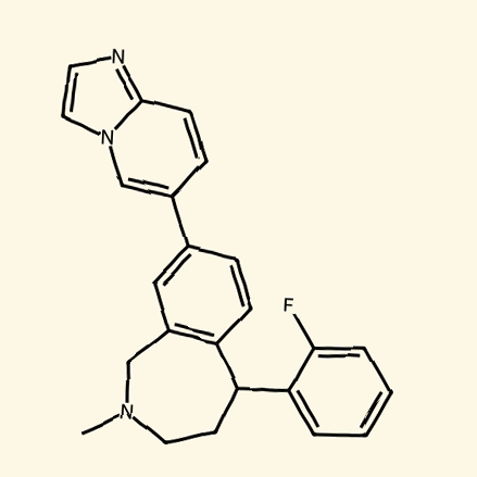 CN1CCC(c2ccccc2F)c2ccc(-c3ccc4nccn4c3)cc2C1